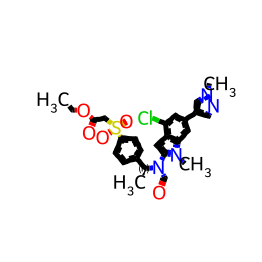 CCOC(=O)CS(=O)(=O)c1ccc([C@@H](C)N(C=O)c2cc3c(Cl)cc(-c4cnn(C)c4)cc3n2C)cc1